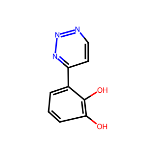 Oc1cccc(-c2ccnnn2)c1O